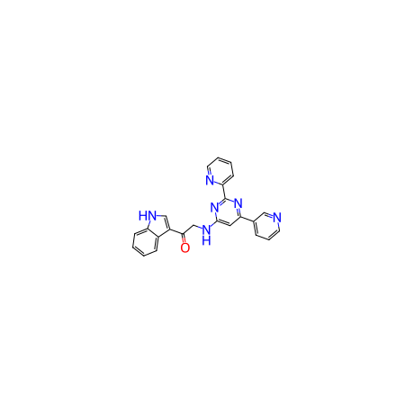 O=C(CNc1cc(-c2cccnc2)nc(-c2ccccn2)n1)c1c[nH]c2ccccc12